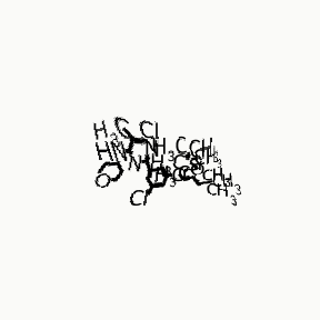 Cc1c(Cl)nc(-c2cc(Cl)cc(OCC([CH]C(C)(C)C)O[Si](C)(C)C(C)(C)C)c2)nc1NC1CCOCC1